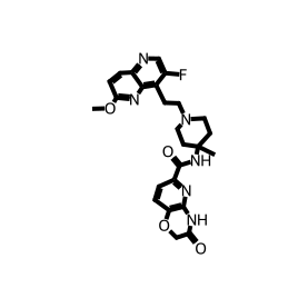 COc1ccc2ncc(F)c(CCN3CCC(C)(NC(=O)c4ccc5c(n4)NC(=O)CO5)CC3)c2n1